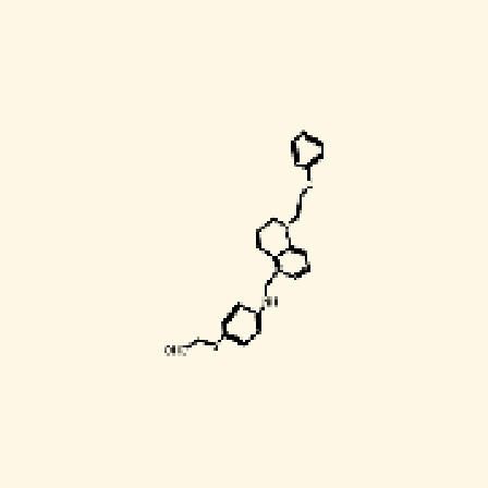 O=CCSc1ccc(NCc2cccc3c2CCCN3CCOc2ccccc2)cc1